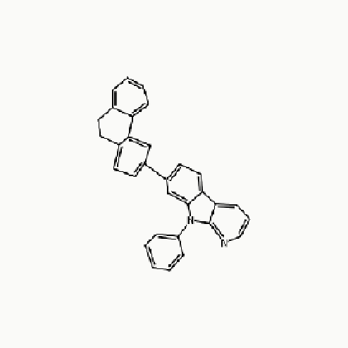 c1ccc(-n2c3cc(-c4ccc5c(c4)-c4ccccc4CC5)ccc3c3cccnc32)cc1